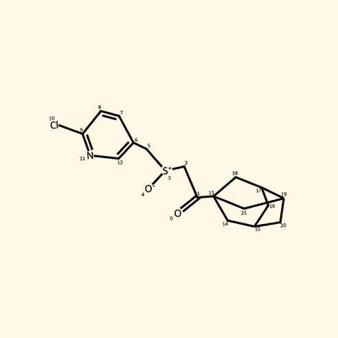 O=C(C[S+]([O-])Cc1ccc(Cl)nc1)C12CC3CC(C1)C(C3)C2